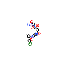 CC1(C)CCC(C(=O)N2CC3CN(C(=O)c4ccc5c(c4)CN(C4CCC(=O)NC4=O)C5=O)CC3C2)=C(c2ccc(Cl)cc2)C1